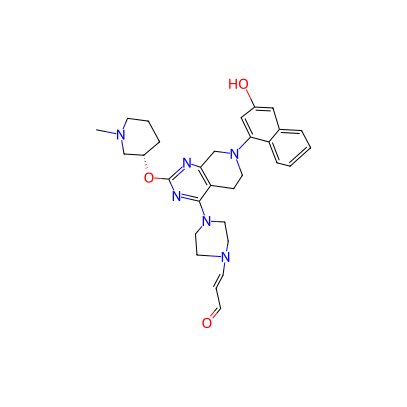 CN1CCC[C@H](Oc2nc3c(c(N4CCN(C=CC=O)CC4)n2)CCN(c2cc(O)cc4ccccc24)C3)C1